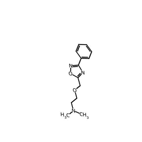 CN(C)CCOCc1nc(-c2ccccc2)no1